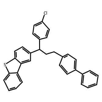 Clc1ccc(C(CCc2ccc(-c3ccccc3)cc2)c2ccc3sc4ccccc4c3c2)cc1